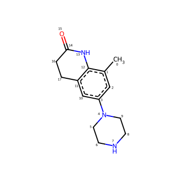 Cc1cc(N2CCNCC2)cc2c1NC(=O)CC2